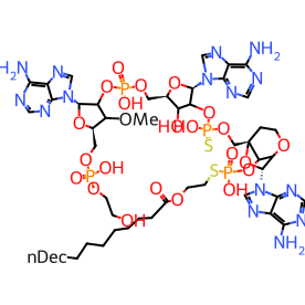 CCCCCCCCCCCCCCCCCC(=O)OCCSP(=O)(O)OC1C2OCC[C@@]1(COP(O)(=S)OC1C(O)[C@@H](COP(=O)(O)OC3C(OC)[C@@H](COP(=O)(O)OCCO)O[C@H]3n3cnc4c(N)ncnc43)O[C@H]1n1cnc3c(N)ncnc31)O[C@H]2n1cnc2c(N)ncnc21